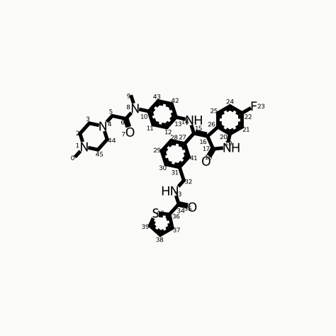 CN1CCN(CC(=O)N(C)c2ccc(NC(=C3C(=O)Nc4cc(F)ccc43)c3cccc(CNC(=O)c4cccs4)c3)cc2)CC1